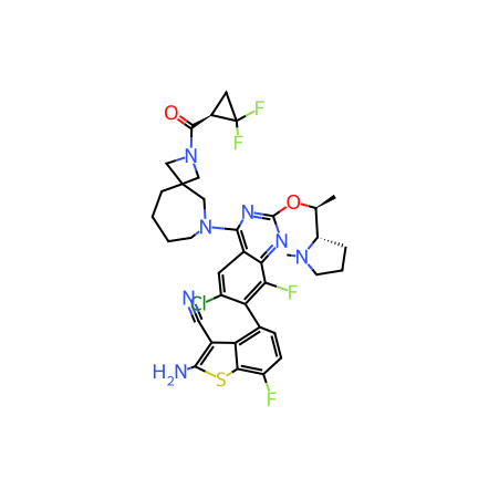 C[C@H](Oc1nc(N2CCCCC3(CN(C(=O)[C@H]4CC4(F)F)C3)C2)c2cc(Cl)c(-c3ccc(F)c4sc(N)c(C#N)c34)c(F)c2n1)[C@@H]1CCCN1C